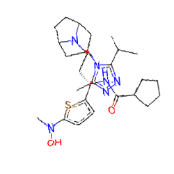 Cc1nnc(C(C)C)n1C1CC2CCC(C1)N2CC[C@H](NC(=O)C1CCCC1)c1ccc(N(C)O)s1